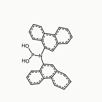 OP(O)N(c1cc2ccccc2c2ccccc12)c1cc2ccccc2c2ccccc12